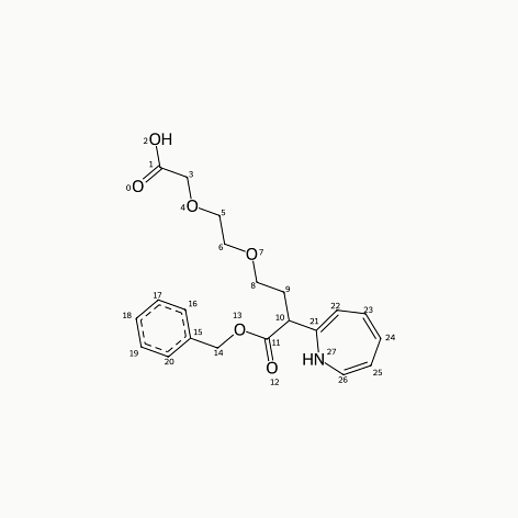 O=C(O)COCCOCCC(C(=O)OCc1ccccc1)C1=CC=CC=CN1